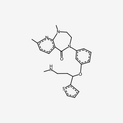 CNCCC(Oc1cccc(N2CCN(C)c3nc(C)ccc3C2=O)c1)c1cccs1